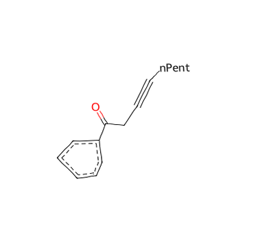 CCCCCC#CCC(=O)c1ccccc1